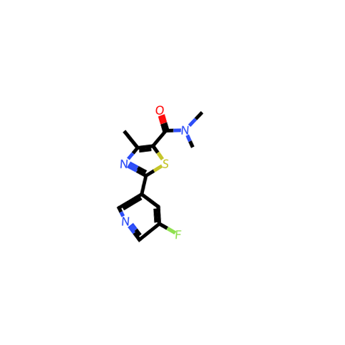 Cc1nc(-c2cncc(F)c2)sc1C(=O)N(C)C